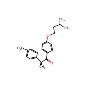 C=C(C(=O)c1ccc(OCCC(C)C)cc1)c1ccc(C)cc1